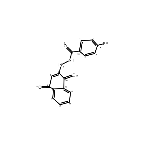 O=C(NNC1=CC(=O)c2ccccc2C1=O)c1ccc(F)cc1